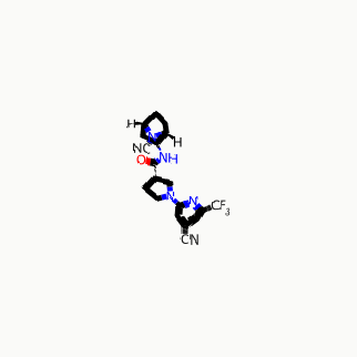 N#Cc1cc(N2CC[C@H](C(=O)N[C@@H]3C[C@@H]4CC[C@H]3N4C#N)C2)nc(C(F)(F)F)c1